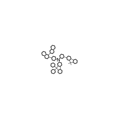 CC1(C)c2ccccc2-c2ccc(-c3cccc(N(c4ccc(-c5ccc6ccccc6c5-c5ccc6ccccc6c5)cc4)c4ccc5c(c4)C(c4ccccc4)(c4ccccc4)c4ccccc4-5)c3)cc21